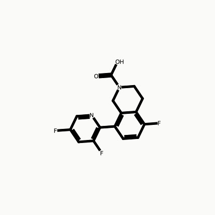 O=C(O)N1CCc2c(F)ccc(-c3ncc(F)cc3F)c2C1